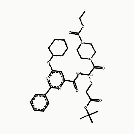 CCOC(=O)N1CCN(C(=O)[C@H](CCC(=O)OC(C)(C)C)NC(=O)c2cc(OC3CCCCC3)nc(-c3ccccc3)n2)CC1